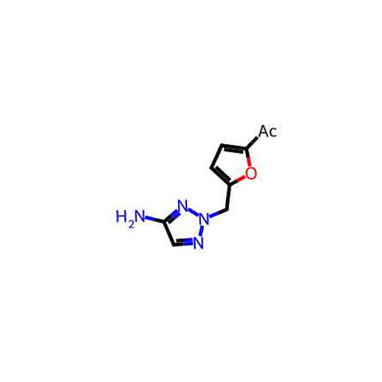 CC(=O)c1ccc(Cn2ncc(N)n2)o1